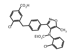 CCOC(=O)N(c1ccccc1Cl)c1c(-c2ccc(Cc3cc(C(=O)O)ccc3Cl)cc2)noc1C